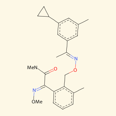 CNC(=O)/C(=N/OC)c1cccc(C)c1CO/N=C(\C)c1cc(C)cc(C2CC2)c1